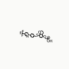 O=C(O)COc1ccc(SCc2ccc(-c3ccc(C(F)(F)F)cn3)cc2)c2c1CCCO2